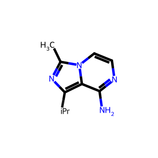 Cc1nc(C(C)C)c2c(N)nccn12